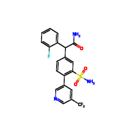 NC(=O)C(c1ccc(-c2cncc(C(F)(F)F)c2)c(S(N)(=O)=O)c1)c1ccccc1F